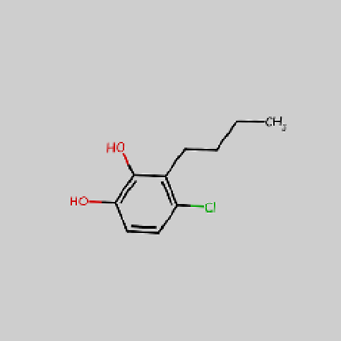 CCCCc1c(Cl)ccc(O)c1O